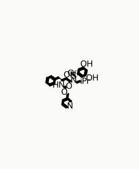 CC(C)CN(C[C@@H](O)[C@H](Cc1ccccc1)NC(=O)OCc1cccnc1)[S+]([O-])c1cc(O)cc(O)c1